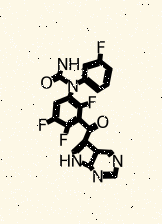 NC(=O)N(c1cccc(F)c1)c1cc(F)c(F)c(C(=O)C2=CNC3N=CN=CC23)c1F